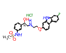 CS(=O)(=O)Nc1cccc([C@@H](O)CNCCOc2ccc3c(c2)[nH]c2cc(F)ccc23)c1.Cl